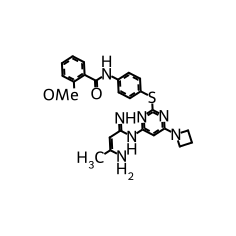 COc1ccccc1C(=O)Nc1ccc(Sc2nc(NC(=N)/C=C(/C)N)cc(N3CCC3)n2)cc1